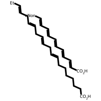 CC/C=C/C/C=C/C/C=C/C/C=C/CCCCCCC(=O)O.CCCCCCCCC/C=C/C=C/C=C/C=C/C=C/C(=O)O